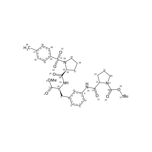 COC(=O)[C@H](Cc1cccc(NC(=O)C2CCCN2C(=O)OC(C)(C)C)c1)NC(=O)[C@@H]1CCCN1S(=O)(=O)c1ccc(C)cc1